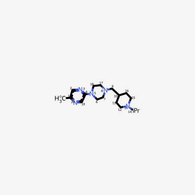 Cc1cnc(N2CCN(CC3CCN(C(C)C)CC3)CC2)cn1